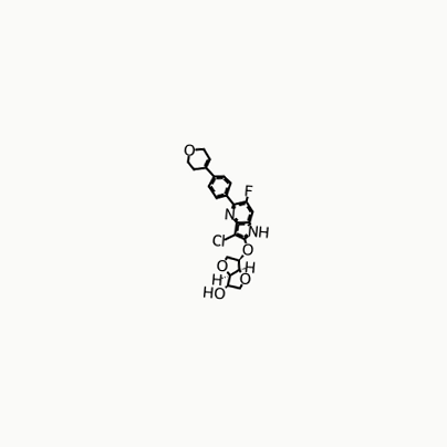 O[C@@H]1CO[C@H]2[C@@H]1OC[C@H]2Oc1[nH]c2cc(F)c(-c3ccc(C4=CCOCC4)cc3)nc2c1Cl